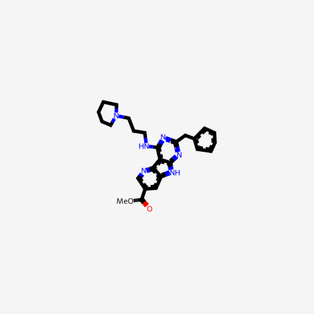 COC(=O)c1cnc2c(c1)[nH]c1nc(Cc3ccccc3)nc(NCCCN3CCCCC3)c12